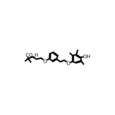 Cc1cc(OCCc2cccc(OCCCC(C)(C)C(=O)O)c2)c(C)c(C)c1O